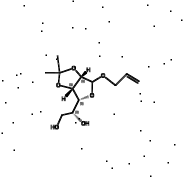 C=CCOC1O[C@H]([C@H](O)CO)[C@@H]2OC(C)(C)O[C@H]12